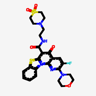 O=C(NCCN1CCS(=O)(=O)CC1)c1c(=O)c2cc(F)c(N3CCOCC3)nc2n2c1sc1ccccc12